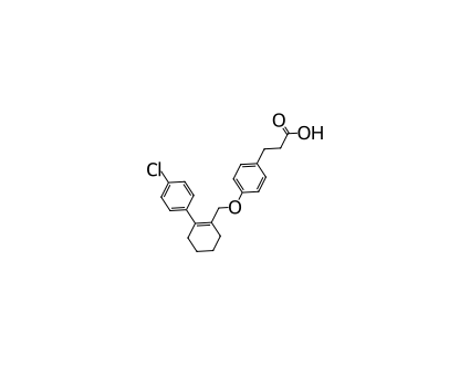 O=C(O)CCc1ccc(OCC2=C(c3ccc(Cl)cc3)CCCC2)cc1